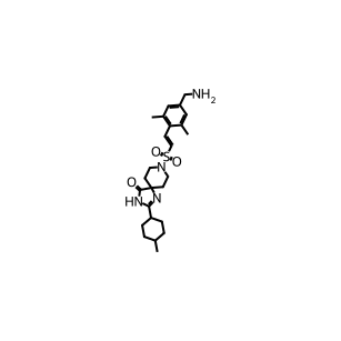 Cc1cc(CN)cc(C)c1C=CS(=O)(=O)N1CCC2(CC1)N=C(C1CCC(C)CC1)NC2=O